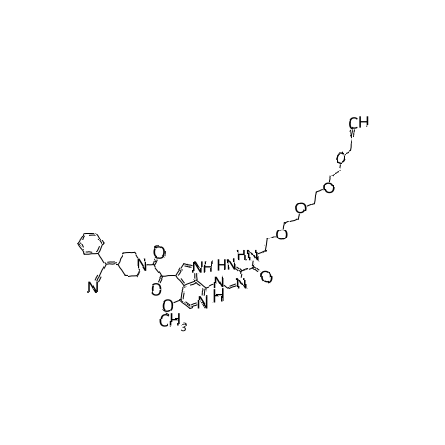 C#CCOCCOCCOCCOCCNC(=O)C(=N)/N=C\Nc1ncc(OC)c2c(C(=O)C(=O)N3CCC(=C(C#N)c4ccccc4)CC3)c[nH]c12